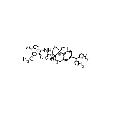 CC[C@H](NC(=O)[C@]1(C)CCC[C@]2(C)c3ccc(C(C)C)cc3CC[C@@H]12)C(=O)OC